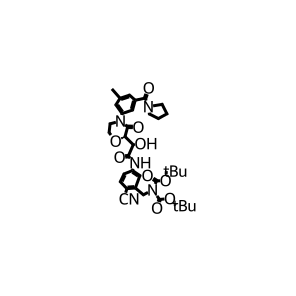 Cc1cc(C(=O)N2CCCC2)cc(N2CCO[C@H]([C@@H](O)C(=O)Nc3ccc(C#N)c(CN(C(=O)OC(C)(C)C)C(=O)OC(C)(C)C)c3)C2=O)c1